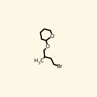 CC(CCBr)COC1CCCCO1